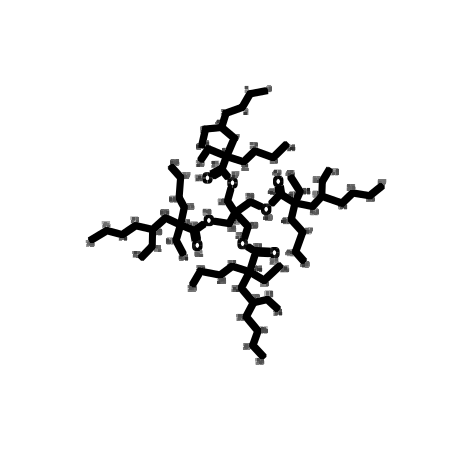 CCCCC(CC)CC(CC)(CCCC)C(=O)OCC(COC(=O)C(CC)(CCCC)CC(CC)CCCC)(COC(=O)C(CC)(CCCC)CC(CC)CCCC)COC(=O)C(CC)(CCCC)CC(CC)CCCC